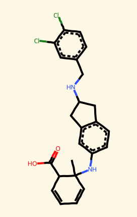 CC1(Nc2ccc3c(c2)CC(NCc2ccc(Cl)c(Cl)c2)C3)C=CC=CC1C(=O)O